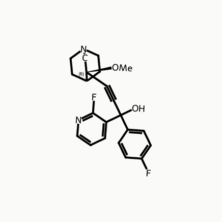 CO[C@]1(C#CC(O)(c2ccc(F)cc2)c2cccnc2F)CN2CCC1CC2